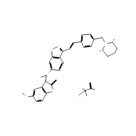 COc1ccc2c(c1)[C@]1(C[C@H]1c1ccc3c(/C=C/c4ccc(CN5[C@H](C)CCC[C@@H]5C)cc4)n[nH]c3c1)C(=O)N2.O=C(O)C(F)(F)F